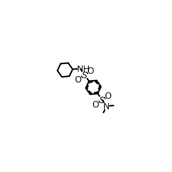 CN(C)S(=O)(=O)c1ccc(S(=O)(=O)NC2CCCCC2)cc1